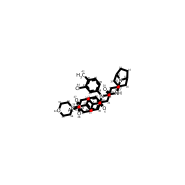 CC(=O)N1CCC(C(=O)N(CCCN2C3CCC2CC(NC(=O)Cc2ccc(S(=O)(=O)N4CCOCC4)cc2)C3)c2ccc(C)c(Cl)c2)CC1